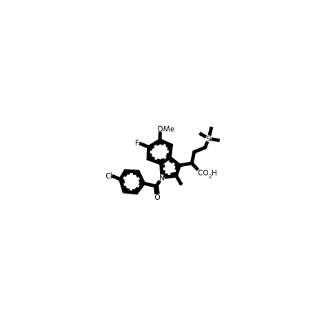 COc1cc2c(C(CC[Si](C)(C)C)C(=O)O)c(C)n(C(=O)c3ccc(Cl)cc3)c2cc1F